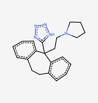 c1ccc2c(c1)CCc1ccccc1C2(CCN1CCCC1)c1nnn[nH]1